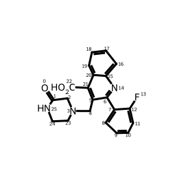 O=C1CN(Cc2c(-c3ccccc3F)nc3ccccc3c2C(=O)O)CCN1